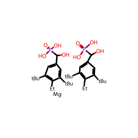 CCc1c(C(C)(C)C)cc(C(O)P(=O)(O)O)cc1C(C)(C)C.CCc1c(C(C)(C)C)cc(C(O)P(=O)(O)O)cc1C(C)(C)C.[Mg]